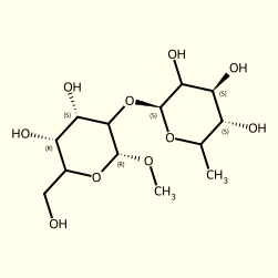 CO[C@@H]1OC(CO)[C@H](O)[C@H](O)C1O[C@@H]1OC(C)[C@@H](O)[C@H](O)C1O